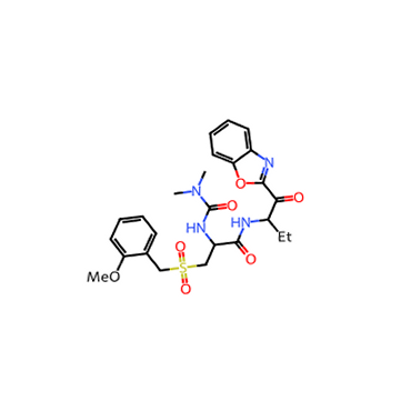 CCC(NC(=O)C(CS(=O)(=O)Cc1ccccc1OC)NC(=O)N(C)C)C(=O)c1nc2ccccc2o1